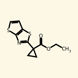 CCOC(=O)C1(c2nc3sccc3s2)CC1